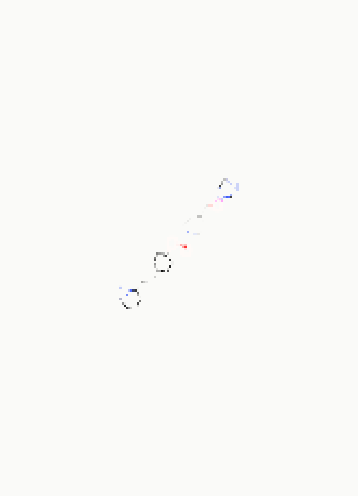 Cc1ccnc(CCc2ccc(OC(=O)N3CCC(COn4ccnc4)CC3)cc2)c1